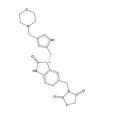 O=C1Nc2ccc(CN3C(=O)CSC3=O)cc2[C@H]1Cc1cc(CN2CCOCC2)c[nH]1